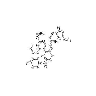 Cc1c[nH]c2ncc(-c3cc4c(c([C@@H]5COCCN5C(=O)OC(C)(C)C)c3)CN(C(=O)N3CCC(F)CC3)CC4)nc12